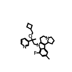 Cc1cc(F)c2c(c1)c1c(n2CC(C)(OCC2CCC2)c2cccnc2)CCN2CCCC12